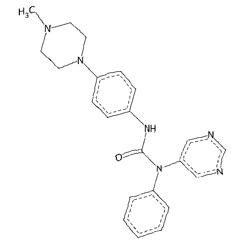 CN1CCN(c2ccc(NC(=O)N(c3ccccc3)c3cncnc3)cc2)CC1